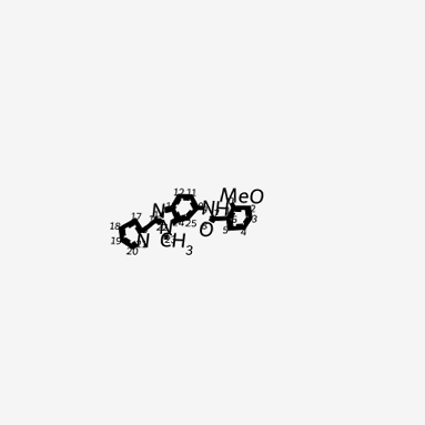 COc1ccccc1C(=O)Nc1ccc2nc(-c3ccccn3)n(C)c2c1